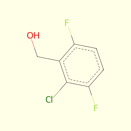 OCc1c(F)ccc(F)c1Cl